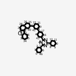 c1ccc(-c2nc(-c3ccccc3)nc(-c3ccc(-c4cccc(-c5ccc6ccc7oc8ccccc8c7c6c5)c4)cc3)n2)cc1